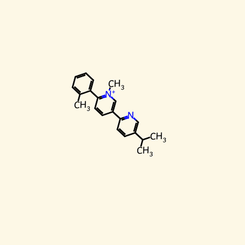 Cc1ccccc1-c1ccc(-c2ccc(C(C)C)cn2)c[n+]1C